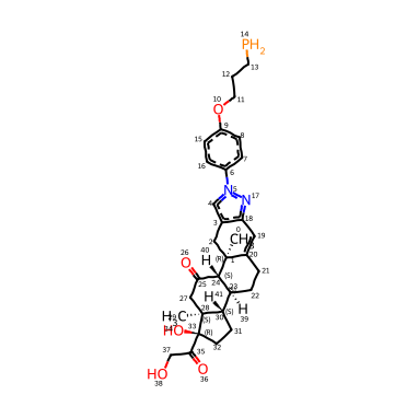 C[C@]12Cc3cn(-c4ccc(OCCCP)cc4)nc3C=C1CC[C@@H]1[C@@H]2C(=O)C[C@@]2(C)[C@H]1CC[C@]2(O)C(=O)CO